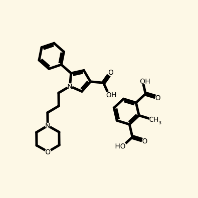 Cc1c(C(=O)O)cccc1C(=O)O.O=C(O)c1cc(-c2ccccc2)n(CCCN2CCOCC2)c1